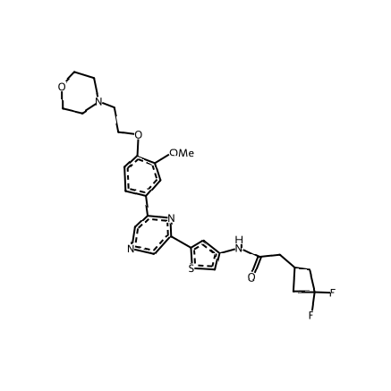 COc1cc(-c2cncc(-c3cc(NC(=O)CC4CC(F)(F)C4)cs3)n2)ccc1OCCN1CCOCC1